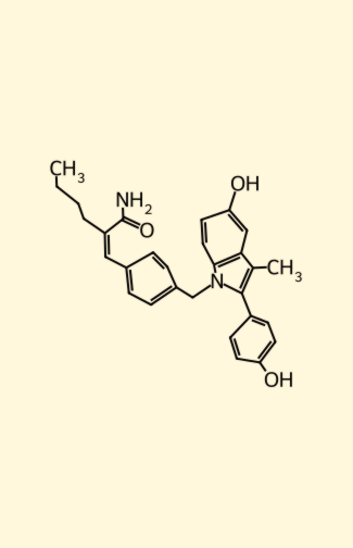 CCCCC(=Cc1ccc(Cn2c(-c3ccc(O)cc3)c(C)c3cc(O)ccc32)cc1)C(N)=O